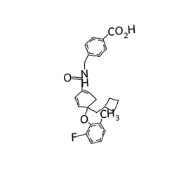 Cc1cccc(F)c1OC1(CC2CCC2)C=CC(C(=O)NCc2ccc(C(=O)O)cc2)=CC1